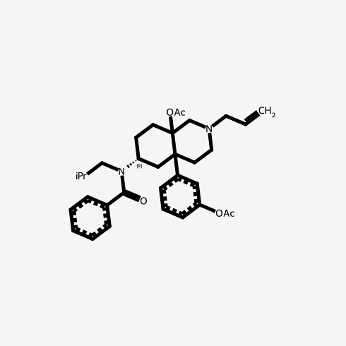 C=CCN1CCC2(c3cccc(OC(C)=O)c3)C[C@H](N(CC(C)C)C(=O)c3ccccc3)CCC2(OC(C)=O)C1